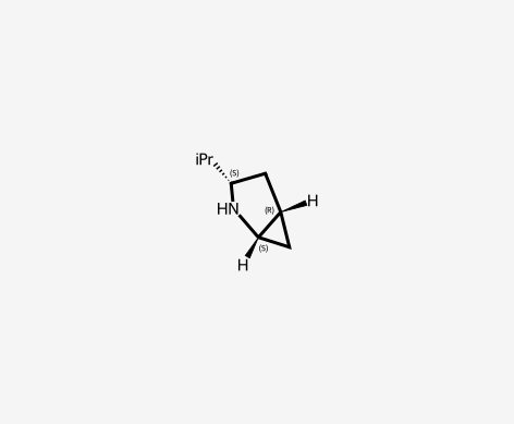 CC(C)[C@@H]1C[C@@H]2C[C@@H]2N1